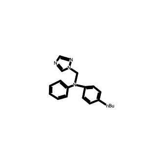 CCCCc1ccc(N(Cn2cncn2)c2ccccc2)cc1